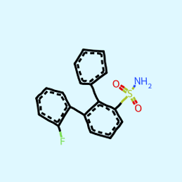 NS(=O)(=O)c1cccc(-c2ccccc2F)c1-c1ccccc1